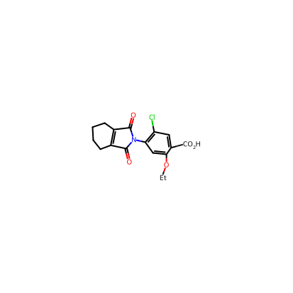 CCOc1cc(N2C(=O)C3=C(CCCC3)C2=O)c(Cl)cc1C(=O)O